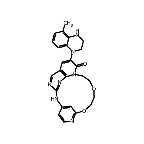 Cc1cccc2c1NCCN2c1cc2cnc3nc2n(c1=O)CCOCCOc1cc(ccn1)N3